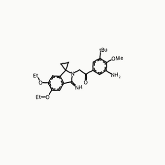 CCOc1cc2c(cc1OCC)C1(CC1)N(CC(=O)c1cc(N)c(OC)c(C(C)(C)C)c1)C2=N